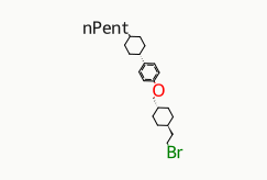 CCCCC[C@H]1CC[C@H](c2ccc(OC[C@H]3CC[C@H](CCBr)CC3)cc2)CC1